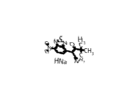 CC(C)(C)C(=O)C(C#N)c1ccc([N+](=O)[O-])c2nsnc12.[NaH]